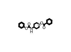 O=C(NC1CCN(OC(=O)c2ccccc2)CC1)Oc1ccccc1